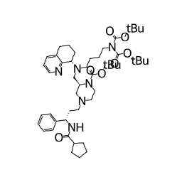 CC(C)(C)OC(=O)N(CCCCN(C[C@@H]1CN(CC[C@H](NC(=O)C2CCCC2)c2ccccc2)CCN1C(=O)OC(C)(C)C)[C@H]1CCCc2cccnc21)C(=O)OC(C)(C)C